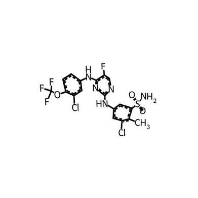 Cc1c(Cl)cc(Nc2ncc(F)c(Nc3ccc(OC(F)(F)F)c(Cl)c3)n2)cc1S(N)(=O)=O